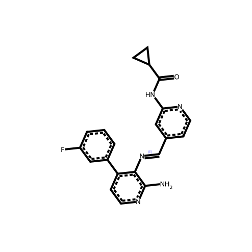 Nc1nccc(-c2cccc(F)c2)c1/N=C/c1ccnc(NC(=O)C2CC2)c1